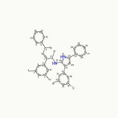 Cc1cc(C)cc(/C(=C/C(C)c2ccccc2)C(C)Nc2[nH]c(-c3ccccc3)cc2-c2cc(C)cc(C)c2)c1